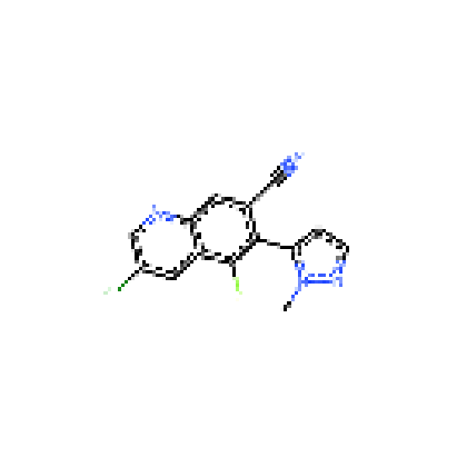 Cn1nccc1-c1c(C#N)cc2ncc(Cl)cc2c1F